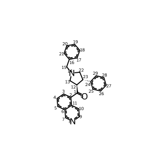 O=C(c1cccc2cnccc12)[C@H]1CN(Cc2ccccc2)C[C@@H]1c1ccccc1